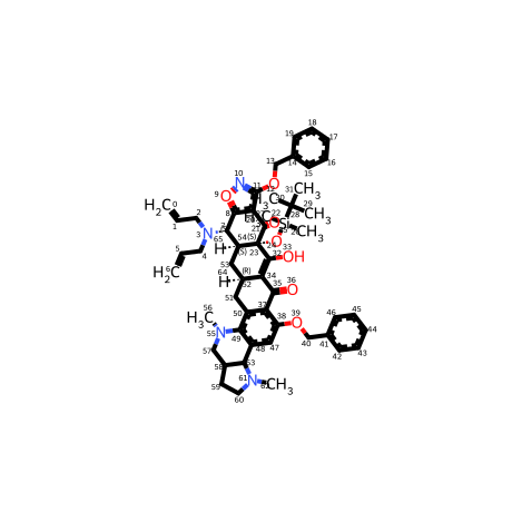 C=CCN(CC=C)[C@@H]1c2onc(OCc3ccccc3)c2C(=O)[C@@]2(O[Si](C)(C)C(C)(C)C)C(O)=C3C(=O)c4c(OCc5ccccc5)cc5c(c4C[C@H]3C[C@@H]12)N(C)CC1CCN(C)C51